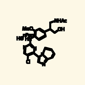 CCCCCO.COc1cc(C(CO)CNC(C)=O)ccc1Nc1ncc(Cl)c(-c2cnc3ccccn23)n1